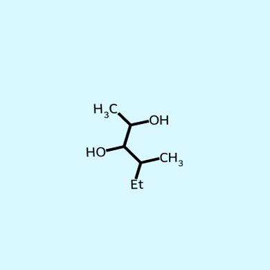 CCC(C)C(O)C(C)O